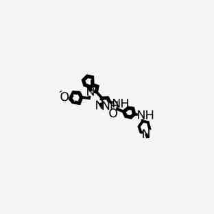 COc1ccc(Cn2c(-c3cc(NC(=O)c4ccc(NC5CCN(C)CC5)cc4)[nH]n3)cc3ccccc32)cc1